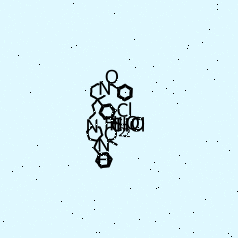 CC(=O)NC1(Cc2ccccc2)CCN(CCCC2(c3ccc(Cl)c(Cl)c3)CCCN(C(=O)c3ccccc3)C2)CC1.Cl.O.O